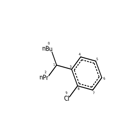 CCCCC(CCC)c1ccccc1Cl